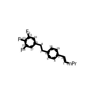 CCCC=Cc1ccc(CCc2cc(F)c(F)c(F)c2)cc1